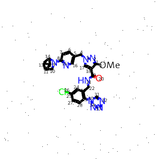 COc1nn(Cc2ccc(N3CC4C5C4C53)nc2)cc1C(=O)NCc1cc(Cl)ccc1-n1cnnn1